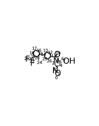 CO/N=C1\C[C@@H](CO)N(C(=O)c2ccc(-c3cccc(C(F)F)c3C)cc2)C1